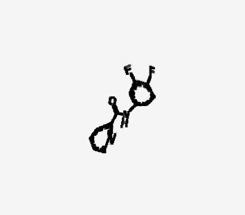 O=C(Nc1ccc(F)c(F)c1)c1ccccn1